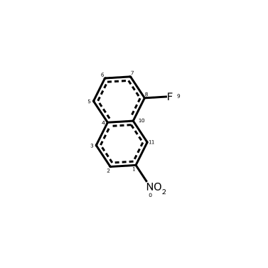 O=[N+]([O-])c1ccc2cccc(F)c2c1